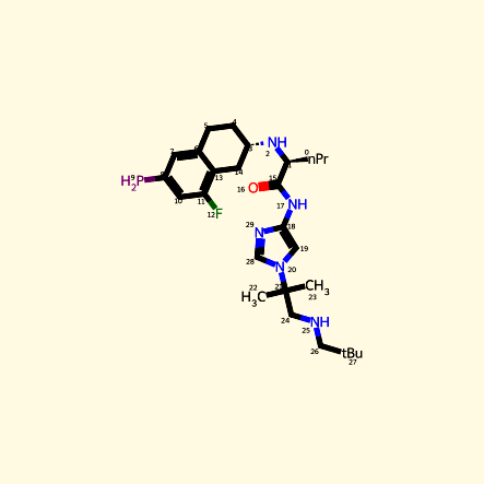 CCC[C@H](N[C@H]1CCc2cc(P)cc(F)c2C1)C(=O)Nc1cn(C(C)(C)CNCC(C)(C)C)cn1